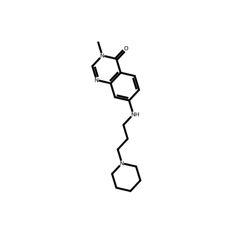 Cn1cnc2cc(NCCCN3CCCCC3)ccc2c1=O